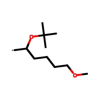 [CH2]C(CCCCOC)OC(C)(C)C